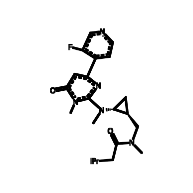 CC(C)CC(=O)N(C)C[C@@H]1C[C@H]1N(C)c1nc(-c2ccncc2F)cc(=O)n1C